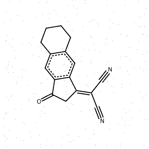 N#CC(C#N)=C1CC(=O)c2cc3c(cc21)CCCC3